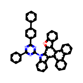 c1ccc(-c2ccc(-c3nc(-c4ccccc4)nc(-n4c5ccccc5c5c6c7ccccc7c7ccccc7c6c6c7ccccc7oc6c54)n3)cc2)cc1